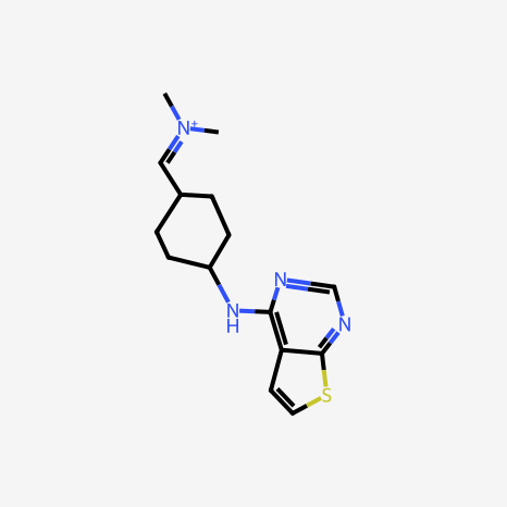 C[N+](C)=CC1CCC(Nc2ncnc3sccc23)CC1